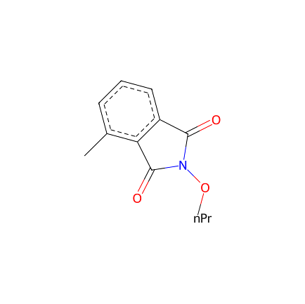 CCCON1C(=O)c2cccc(C)c2C1=O